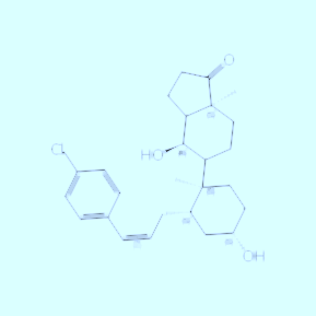 C[C@]12CCC([C@@]3(C)CC[C@H](O)C[C@@H]3C/C=C\c3ccc(Cl)cc3)[C@@H](O)C1CCC2=O